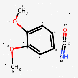 COc1ccccc1OC.N=C=O